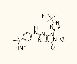 CC(C)(CF)c1nccc(-n2c3nc(Nc4ccc5c(c4)CNCC5(C)C)ncc3c(=O)n2C2CC2)n1